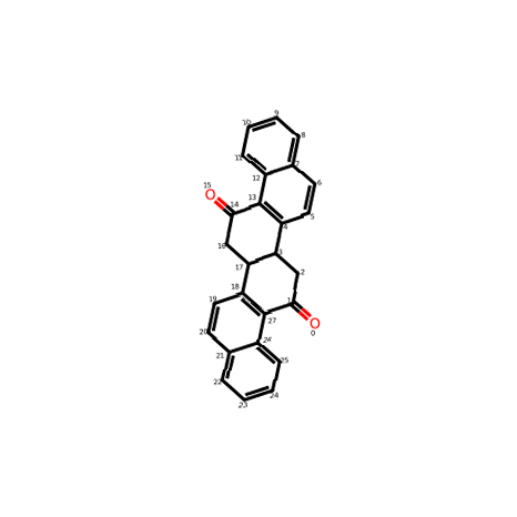 O=C1CC2c3ccc4ccccc4c3C(=O)CC2c2ccc3ccccc3c21